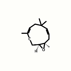 C/C1=C/CC(C)(C)/C=C\C[C@@]2(C)O[C@H]2CC1